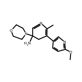 COc1ccc(C2=C(C)N=CC(N)(N3CCOCC3)C2)cn1